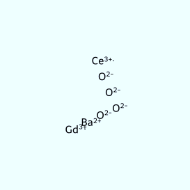 [Ba+2].[Ce+3].[Gd+3].[O-2].[O-2].[O-2].[O-2]